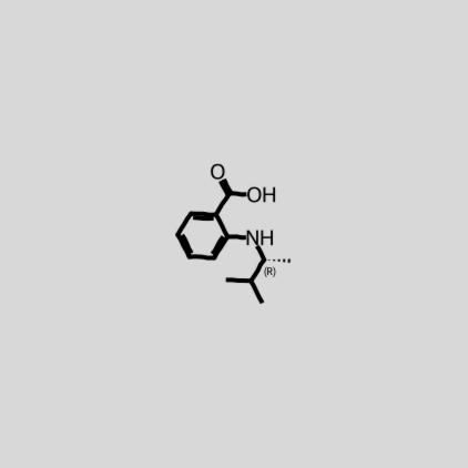 CC(C)[C@@H](C)Nc1ccccc1C(=O)O